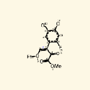 CCO/C=C(\C(=O)C(=O)OC)c1cc(Cl)c(Cl)cc1F